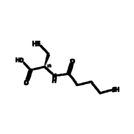 O=C(CCCS)N[C@@H](CS)C(=O)O